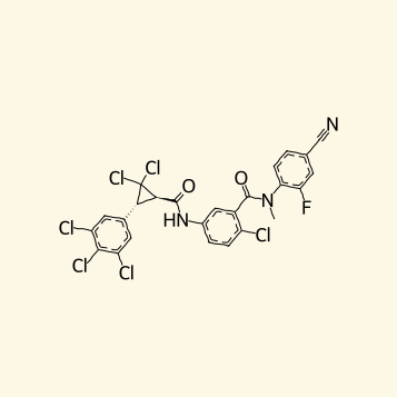 CN(C(=O)c1cc(NC(=O)[C@H]2[C@H](c3cc(Cl)c(Cl)c(Cl)c3)C2(Cl)Cl)ccc1Cl)c1ccc(C#N)cc1F